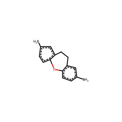 Bc1ccc2c(c1)CCc1cc(B)ccc1O2